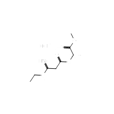 CCOC(=N)CC(=O)O[C@@H](C)C(=O)OC.Cl